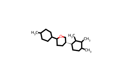 CC1CCC(C2CC[C@@H](C3CCC(C)C(C)C3C)CO2)CC1